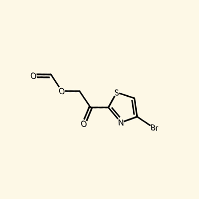 O=COCC(=O)c1nc(Br)cs1